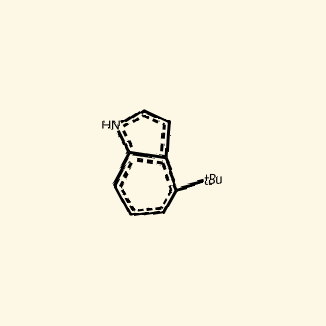 CC(C)(C)c1cccc2[nH]ccc12